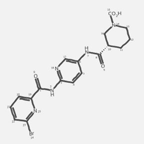 O=C(Nc1ccc(NC(=O)[C@H]2CCCN(C(=O)O)C2)cn1)c1cccc(Br)n1